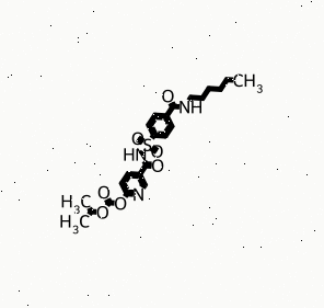 CCCCCCNC(=O)c1ccc(S(=O)(=O)NC(=O)c2ccc(OC(=O)OC(C)C)nc2)cc1